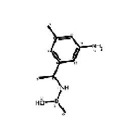 CB(O)N[C@@H](C)c1cc(C)cc(N)c1